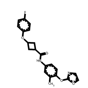 Cc1cc(NC(=O)C2CC(Oc3ccc(F)cc3)C2)ccc1Oc1ncco1